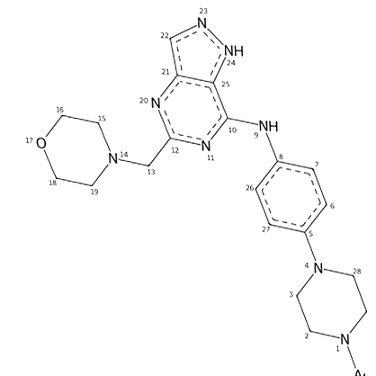 CC(=O)N1CCN(c2ccc(Nc3nc(CN4CCOCC4)nc4cn[nH]c34)cc2)CC1